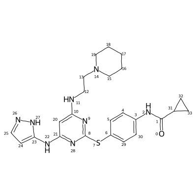 O=C(Nc1ccc(Sc2nc(NCCN3CCCCC3)cc(Nc3ccn[nH]3)n2)cc1)C1CC1